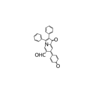 O=CC1=CN2C(=CC1=C1C=CC(=O)C=C1)C(=O)C(c1ccccc1)=C2c1ccccc1